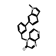 Cn1ccc2ccc(-c3cccc(Cn4c(=O)cnc5cnccc54)c3)cc21